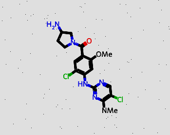 CNc1nc(Nc2cc(OC)c(C(=O)N3CCC(N)C3)cc2Cl)ncc1Cl